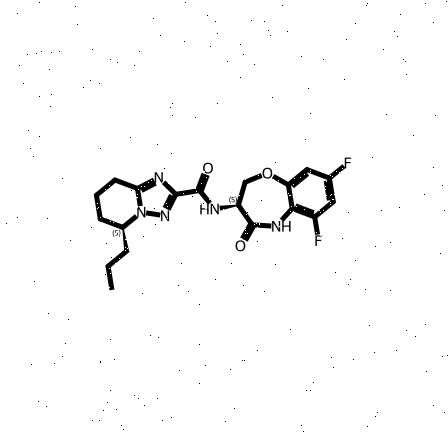 CCC[C@H]1CCCc2nc(C(=O)N[C@H]3COc4cc(F)cc(F)c4NC3=O)nn21